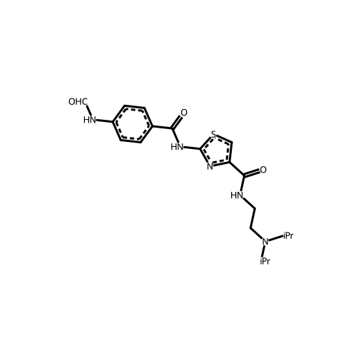 CC(C)N(CCNC(=O)c1csc(NC(=O)c2ccc(NC=O)cc2)n1)C(C)C